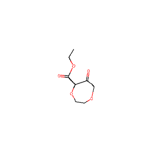 CCOC(=O)C1OCCOCC1=O